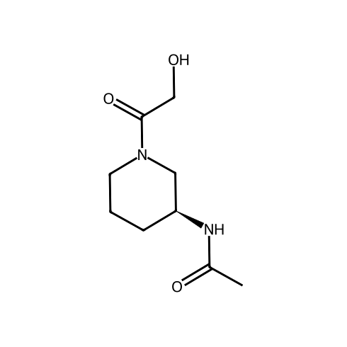 CC(=O)N[C@H]1CCCN(C(=O)CO)C1